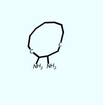 NC1CCCCCCCCCCC1N